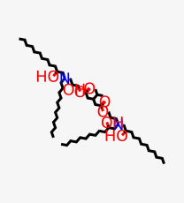 CCCCCCCCCCC(O)CN(CCCOC(=O)CC(CC(=O)OCCCN(CC(O)CCCCCCCCCC)CC(O)CCCCCCCCCC)C(C)C)CC(O)CCCCCCCCCC